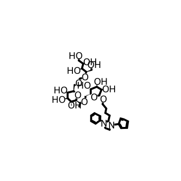 CC(OC[C@H]1O[C@@H](OCCCCC2N(c3ccccc3)CCN2c2ccccc2)[C@H](O)[C@@H](O)[C@@H]1O)[C@@H]1O[C@H](COCO[C@H](CO)[C@@H](O)[C@H](O)CO)[C@@H](O)[C@H](O)[C@H]1O